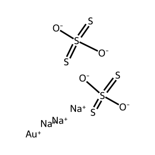 [Au+].[Na+].[Na+].[Na+].[O-]S([O-])(=S)=S.[O-]S([O-])(=S)=S